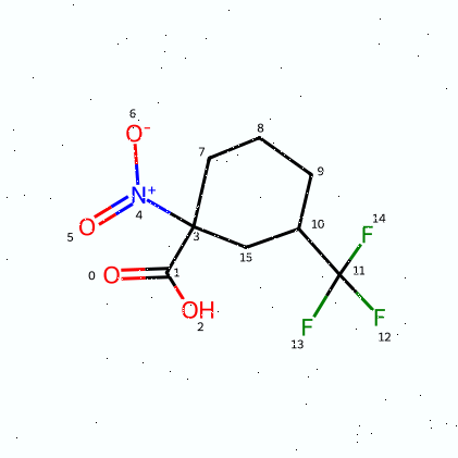 O=C(O)C1([N+](=O)[O-])CCCC(C(F)(F)F)C1